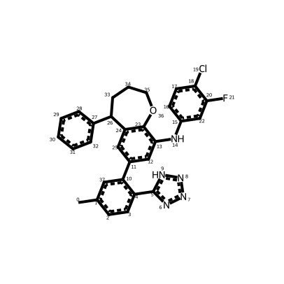 Cc1ccc(-c2nnn[nH]2)c(-c2cc(Nc3ccc(Cl)c(F)c3)c3c(c2)C(c2ccccc2)CCCO3)c1